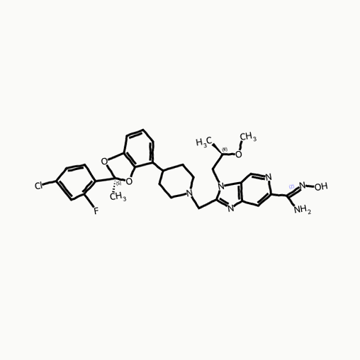 CO[C@H](C)Cn1c(CN2CCC(c3cccc4c3O[C@@](C)(c3ccc(Cl)cc3F)O4)CC2)nc2cc(/C(N)=N/O)ncc21